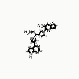 N#Cc1cc2sccc2nc1N1CC[C@H]([C@H](CN)n2cc(-c3ncnc4[nH]ccc34)cn2)C1